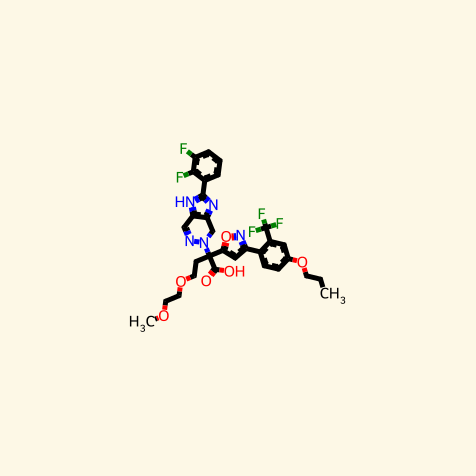 CCCOc1ccc(-c2cc(C(CCOCCOC)(C(=O)O)N3Cc4nc(-c5cccc(F)c5F)[nH]c4C=N3)on2)c(C(F)(F)F)c1